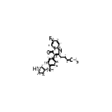 CCCCc1nc2ccc(F)cn2c(=O)c1-c1ccc(NC2CCNC2)cc1